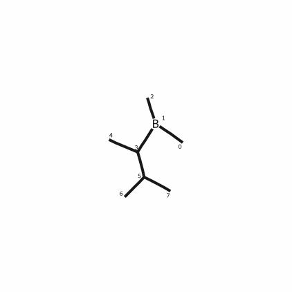 CB(C)C(C)C(C)C